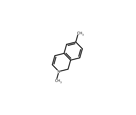 Cc1ccc2c(c1)C=CN(C)C2